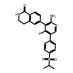 CC(C)S(=O)(=O)c1ccc(-c2cnc(N)c(-c3ccc4c(c3)CCNC4=O)c2F)cc1